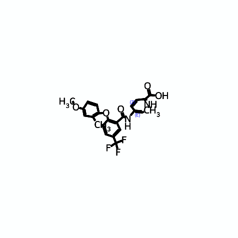 C/C=C(\C=C/C(=N)C(=O)O)NC(=O)c1cc(C(F)(F)F)ccc1Oc1ccc(OC)cc1C